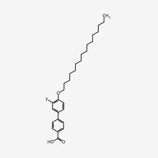 CCCCCCCCCCCCCCCCOc1ccc(-c2ccc(C(=O)O)cc2)cc1F